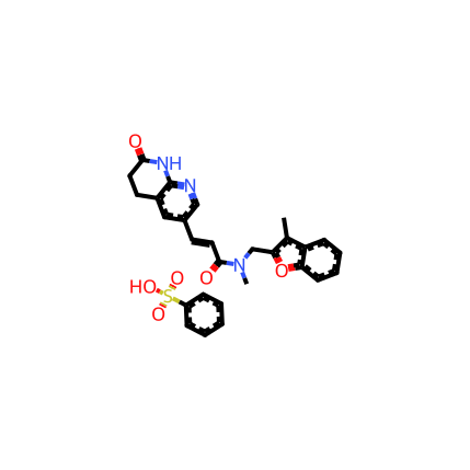 Cc1c(CN(C)C(=O)/C=C/c2cnc3c(c2)CCC(=O)N3)oc2ccccc12.O=S(=O)(O)c1ccccc1